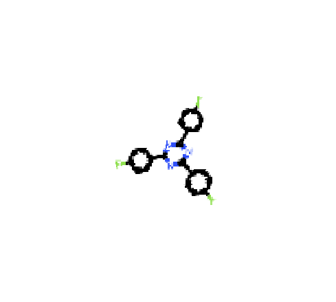 Fc1ccc(-c2nc(-c3ccc(F)cc3)nc(-c3ccc(F)cc3)n2)cc1